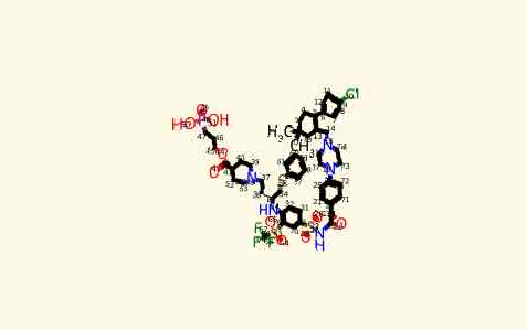 CC1(C)CCC(c2ccc(Cl)cc2)=C(CN2CCN(c3ccc(C4OC4NS(=O)(=O)c4ccc(N[C@H](CCN5CCC(C(=O)OCCCP(=O)(O)O)CC5)CSc5ccccc5)c(S(=O)(=O)C(F)(F)F)c4)cc3)CC2)C1